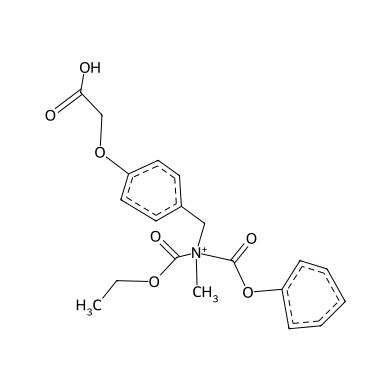 CCOC(=O)[N+](C)(Cc1ccc(OCC(=O)O)cc1)C(=O)Oc1ccccc1